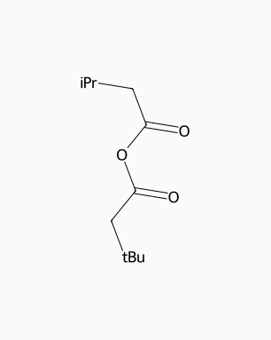 CC(C)CC(=O)OC(=O)CC(C)(C)C